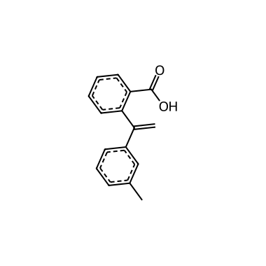 C=C(c1cccc(C)c1)c1ccccc1C(=O)O